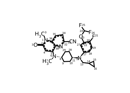 Cn1c(=O)cc(N(C)[C@H]2CC[C@H](N(CC3CC3)c3ccc(F)c(OC(F)F)c3)CC2)c2nc(C#N)ccc21